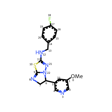 COc1cncc(C2CN=C3SC(NCc4ccc(F)cc4)=NN32)c1